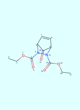 CCOC(=O)N1C2C=CC(C2=O)N1C(=O)OCC